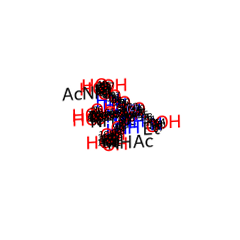 CC[C@@H]1C[C@@H](O)CN1C(=O)CCCCCCCCCCC(=O)N1C/C=C\[C@@H](OCCC(=O)NCCCNC(=O)CCCCO[C@@H]2O[C@H](CO)[C@H](O)[C@H](O)[C@H]2NC(C)=O)[C@H](OCCC(=O)NCCCNC(=O)CCCCO[C@@H]2O[C@H](CO)[C@H](O)[C@H](O)[C@H]2NC(C)=O)[C@@H](OCCC(=O)NCCCNC(=O)CCCCO[C@@H]2O[C@H](CO)[C@H](O)[C@H](O)[C@H]2NC(C)=O)C1